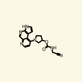 N#CCNC(=O)OC1CCN(c2ccnc3cnc4[nH]ccc4c23)C1